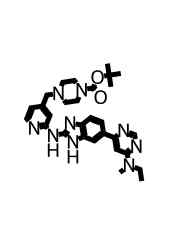 CCN(C)c1cc(-c2ccc3nc(Nc4cc(CN5CCN(C(=O)OC(C)(C)C)CC5)ccn4)[nH]c3c2)ncn1